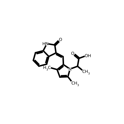 Cc1cc(C)n(C(C)C(=O)O)c1C=C1C(=O)Nc2ccccc21